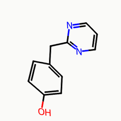 Oc1ccc(Cc2ncccn2)cc1